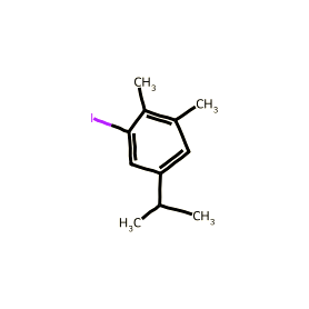 Cc1cc(C(C)C)cc(I)c1C